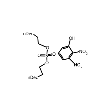 CCCCCCCCCCCCOS(=O)(=O)OCCCCCCCCCCCC.O=[N+]([O-])c1cccc(O)c1[N+](=O)[O-]